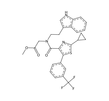 COC(=O)CN(CCc1c[nH]c2ccccc12)C(=O)c1nc(C2CC2)sc1-c1cccc(C(F)(F)F)c1